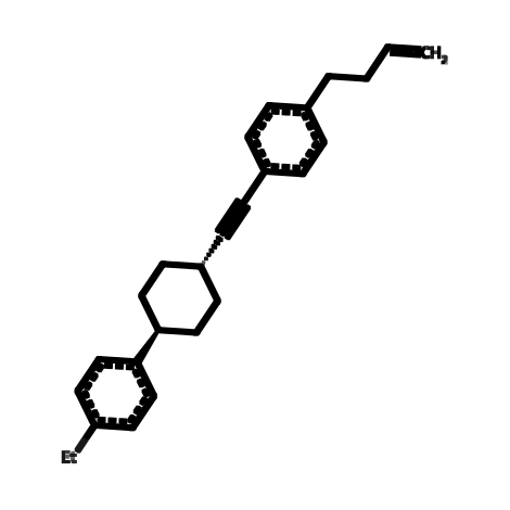 C=CCCc1ccc(C#C[C@H]2CC[C@H](c3ccc(CC)cc3)CC2)cc1